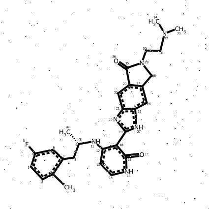 Cc1ccc(F)cc1C[C@H](C)Nc1cc[nH]c(=O)c1-c1nc2cc3c(cc2[nH]1)CN(CCN(C)C)C3=O